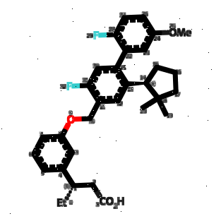 CC[C@@H](CC(=O)O)c1cccc(OCc2cc([C@H]3CCCC3(C)C)c(-c3cc(OC)ccc3F)cc2F)c1